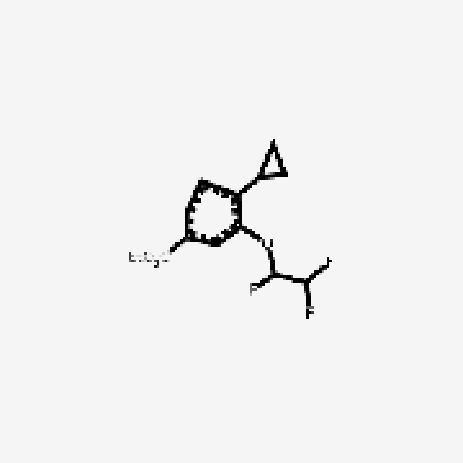 CCOC(=O)c1ccc(C2CC2)c(OC(F)C(F)F)c1